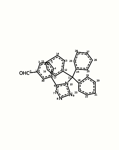 O=Cc1cccc(-c2nnnn2C(c2ccccc2)(c2ccccc2)c2ccccc2)c1